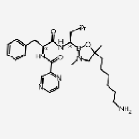 CC(C)C[C@H](NC(=O)[C@H](Cc1ccccc1)NC(=O)c1cnccn1)B1OC(C)(CCCCCCN)CN1C